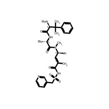 CN[C@H](C(=O)N[C@H](C(=O)N(C)[C@H](/C=C(\C)C(=O)NS(=O)(=O)Cc1cccnc1)C(C)C)C(C)(C)C)C(C)(C)c1ccccc1